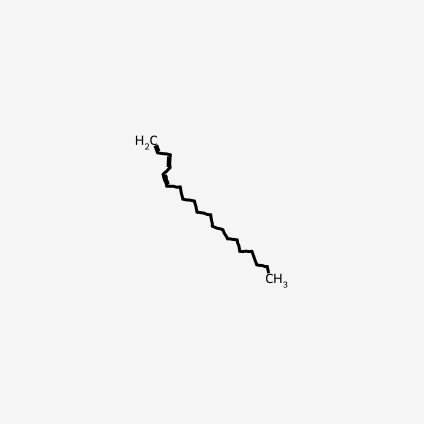 C=C/C=C\C=C/CCCCCCCCCCCCCC